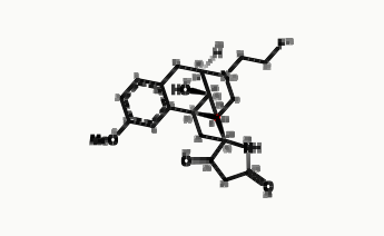 COc1ccc2c(c1)[C@]13CCN(CCF)[C@H](C2)[C@]1(O)CC[C@@]1(C3)NC(=O)CC1=O